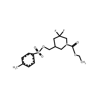 CCOC(=O)N1CC(COS(=O)(=O)c2ccc(C)cc2)CC(F)(F)C1